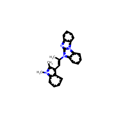 C/C(=C\c1c(C)n(C)c2ccccc12)n1c2ccccc2n2c3ccccc3nc12